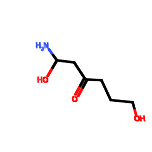 NC(O)CC(=O)CCCO